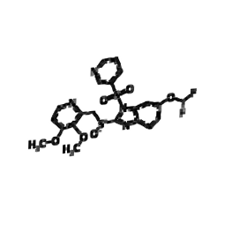 COc1ccnc(C[S+]([O-])c2nc3ccc(OC(F)F)cc3n2S(=O)(=O)c2cccnc2)c1OC